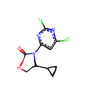 O=C1OCC(C2CC2)N1c1cc(Cl)nc(Cl)n1